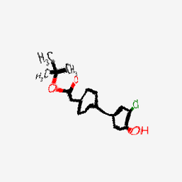 CC(C)(C)OC(=O)Cc1ccc(-c2ccc(O)c(Cl)c2)cc1